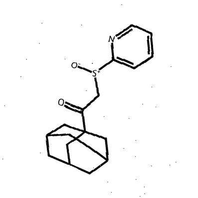 O=C(C[S+]([O-])c1ccccn1)C12CC3CC(CC(C3)C1)C2